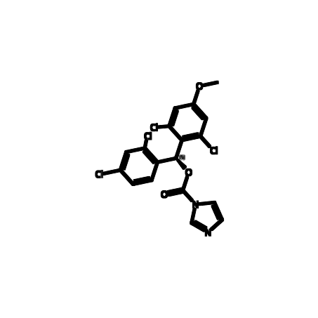 COc1cc(Cl)c([C@@H](OC(=O)n2ccnc2)c2ccc(Cl)cc2Cl)c(Cl)c1